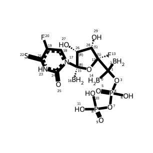 BC(B)(OP(=O)(O)OP(=O)(O)O)[C@@]1(F)O[C@@](B)(n2cc(F)c(=S)[nH]c2=O)[C@H](O)[C@@H]1O